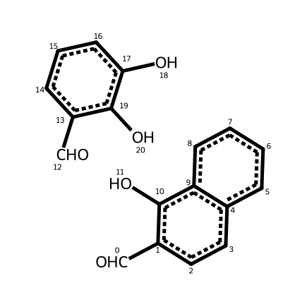 O=Cc1ccc2ccccc2c1O.O=Cc1cccc(O)c1O